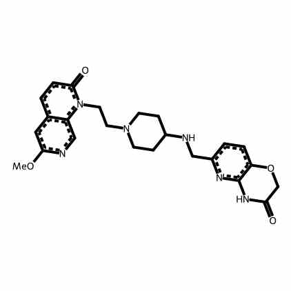 COc1cc2ccc(=O)n(CCN3CCC(NCc4ccc5c(n4)NC(=O)CO5)CC3)c2cn1